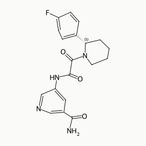 NC(=O)c1cncc(NC(=O)C(=O)N2CCCC[C@H]2c2ccc(F)cc2)c1